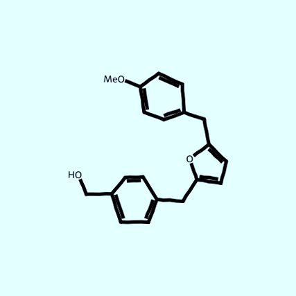 COc1ccc(Cc2ccc(Cc3ccc(CO)cc3)o2)cc1